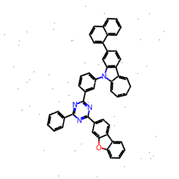 C1=CCC=c2c(n(-c3cccc(-c4nc(-c5ccccc5)nc(-c5ccc6c(c5)oc5ccccc56)n4)c3)c3cc(-c4cccc5ccccc45)ccc23)=C1